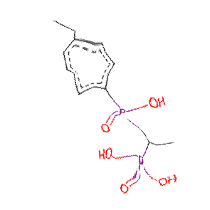 Cc1ccc(P(=O)(O)C(C)P(=O)(O)O)cc1